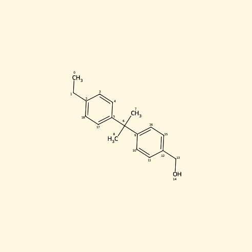 CCc1ccc(C(C)(C)c2ccc(CO)cc2)cc1